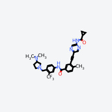 Cc1ccc(C(=O)Nc2ccc(CN3CCC(N(C)C)C3)c(C(F)(F)F)c2)cc1C#Cc1cnc(NC(=O)C2CC2)cn1